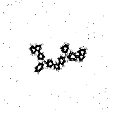 C1=CC(N(c2ccccc2)c2ccc(-c3cccc(-c4ccc(N(c5ccccc5)c5ccc(-c6cccc7ccccc67)cc5)cc4)c3)cc2)CC=C1c1cccc2ccccc12